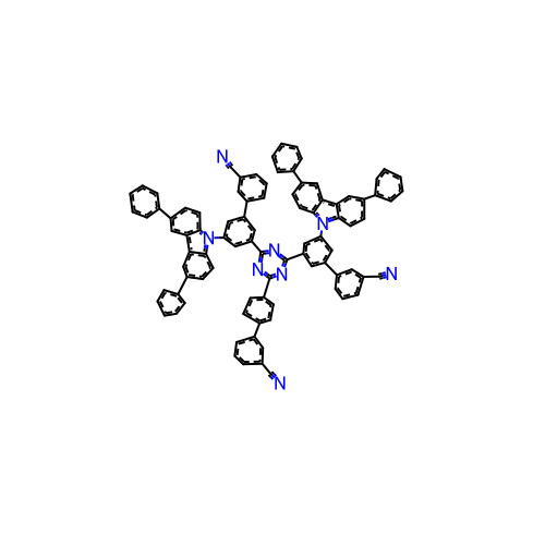 N#Cc1cccc(-c2ccc(-c3nc(-c4cc(-c5cccc(C#N)c5)cc(-n5c6ccc(-c7ccccc7)cc6c6cc(-c7ccccc7)ccc65)c4)nc(-c4cc(-c5cccc(C#N)c5)cc(-n5c6ccc(-c7ccccc7)cc6c6cc(-c7ccccc7)ccc65)c4)n3)cc2)c1